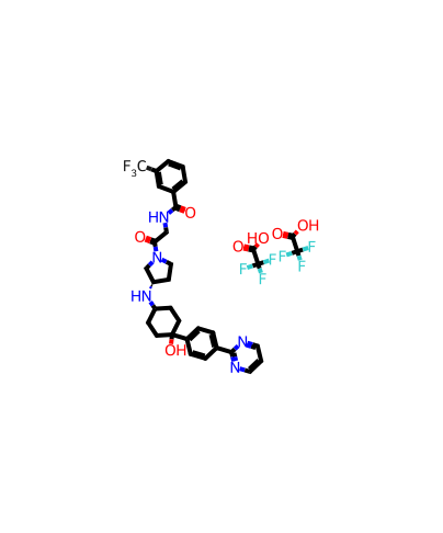 O=C(NCC(=O)N1CC[C@H](NC2CCC(O)(c3ccc(-c4ncccn4)cc3)CC2)C1)c1cccc(C(F)(F)F)c1.O=C(O)C(F)(F)F.O=C(O)C(F)(F)F